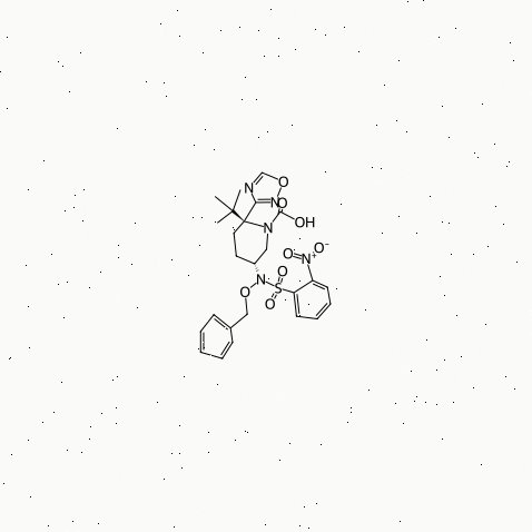 CC(C)(C)[C@]1(c2ncon2)CC[C@@H](N(OCc2ccccc2)S(=O)(=O)c2ccccc2[N+](=O)[O-])CN1C(=O)O